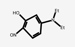 CCN(CC)c1ccc(N=O)c(O)c1